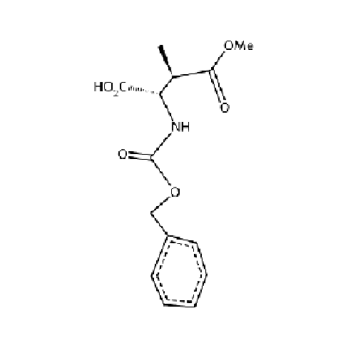 COC(=O)[C@H](C)[C@H](NC(=O)OCc1ccccc1)C(=O)O